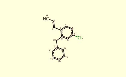 N#C/C=C/c1ccc(Cl)cc1Cc1ccccc1